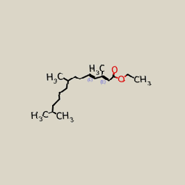 CCOC(=O)/C=C(C)/C=C/CCC(C)CCCCC(C)C